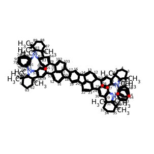 CC1(C)CCCC2(C)c3cc(-c4ccc5c6cc7c(cc6c6ccc(-c8ccc9c(c8)C8(C)CCCC(C)(C)C8(C)N9c8ccccc8)c4c56)c4ccc(-c5ccc6c(c5)C5(C)CCCC(C)(C)C5(C)N6c5ccccc5)c5c(-c6ccc8c(c6)C6(C)CCCC(C)(C)C6(C)N8c6ccccc6)ccc7c54)ccc3N(c3ccccc3)C12C